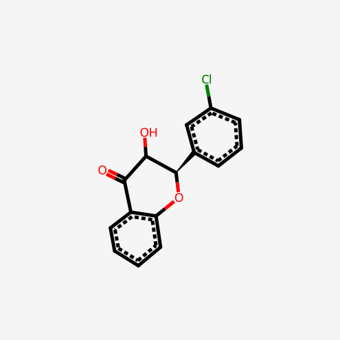 O=C1c2ccccc2O[C@H](c2cccc(Cl)c2)C1O